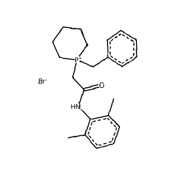 Cc1cccc(C)c1NC(=O)C[P+]1(Cc2ccccc2)CCCCC1.[Br-]